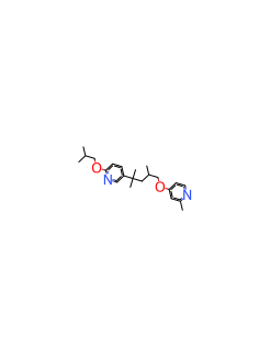 Cc1cc(OCC(C)CC(C)(C)c2ccc(OCC(C)C)nc2)ccn1